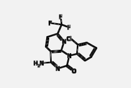 Nc1nc(=O)n(-c2ccccc2Cl)c2nc(C(F)(F)F)ccc12